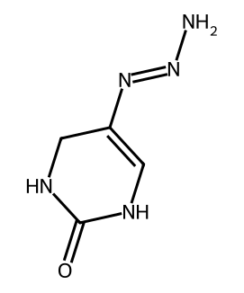 NN=NC1=CNC(=O)NC1